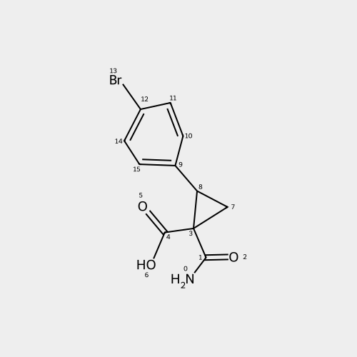 NC(=O)C1(C(=O)O)CC1c1ccc(Br)cc1